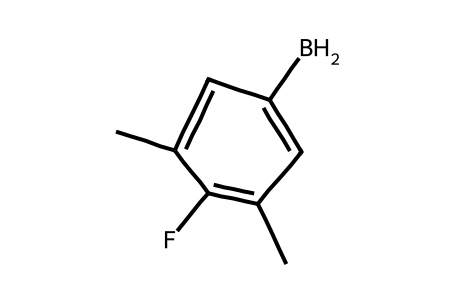 Bc1cc(C)c(F)c(C)c1